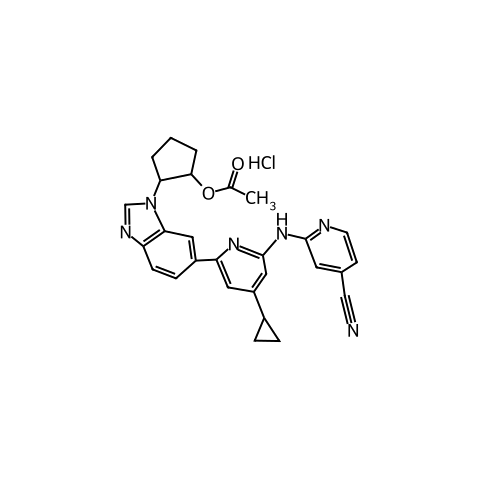 CC(=O)OC1CCCC1n1cnc2ccc(-c3cc(C4CC4)cc(Nc4cc(C#N)ccn4)n3)cc21.Cl